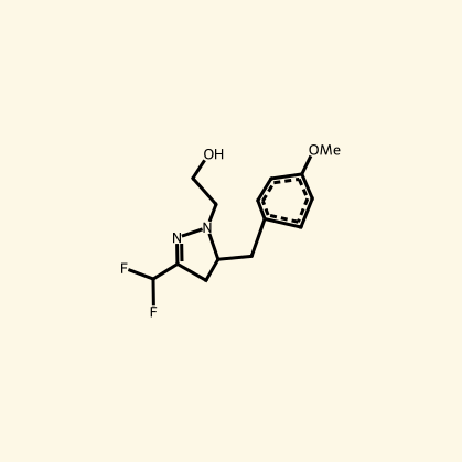 COc1ccc(CC2CC(C(F)F)=NN2CCO)cc1